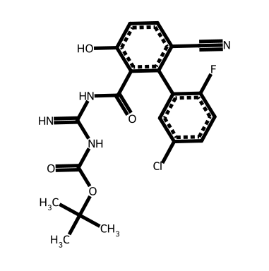 CC(C)(C)OC(=O)NC(=N)NC(=O)c1c(O)ccc(C#N)c1-c1cc(Cl)ccc1F